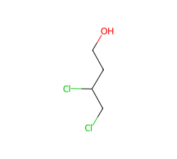 OCCC(Cl)CCl